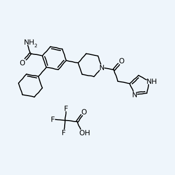 NC(=O)c1ccc(C2CCN(C(=O)Cc3c[nH]cn3)CC2)cc1C1=CCCCC1.O=C(O)C(F)(F)F